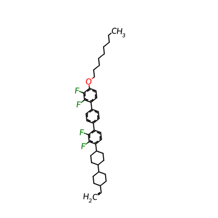 C=CC1CCC(C2CCC(c3ccc(-c4ccc(-c5ccc(OCCCCCCCCC)c(F)c5F)cc4)c(F)c3F)CC2)CC1